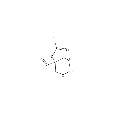 C=CC1(OC(=O)C(C)CC)CCSCC1